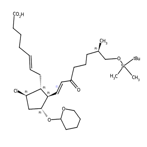 C[C@H](CCCC(=O)/C=C/[C@@H]1[C@@H](CC=CCCCC(=O)O)[C@H](Cl)C[C@H]1OC1CCCCO1)CO[Si](C)(C)C(C)(C)C